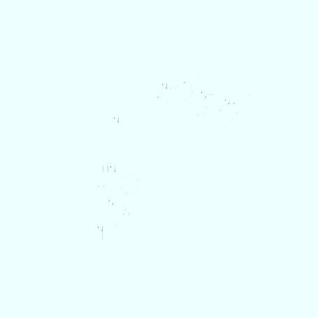 CC(C)/C(CI)=C1\CCC(N2C(=O)c3cccc(NCCC4CCN(C[C@H]5CC[C@H](c6nc7cc(C(C)(C)O)c(NC(=O)c8cccc(C(F)(F)F)n8)cc7s6)CC5)CC4)c3C2=O)C(=O)N1